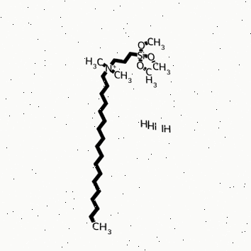 CCCCCCCCCCCCCCCCCC[N+](C)(C)CCC[Si](OC)(OC)OC.I.I.I